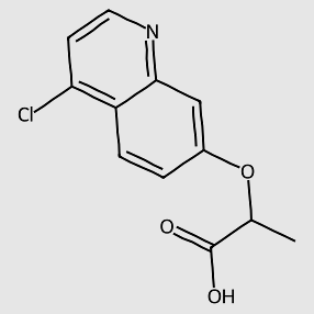 CC(Oc1ccc2c(Cl)ccnc2c1)C(=O)O